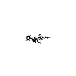 CCCCCCOC(=O)NCc1nc(CCc2ccccc2)no1